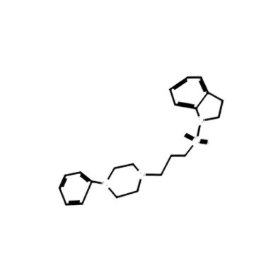 O=S(=O)(CCCN1CCN(c2ccccc2)CC1)N1CCc2ccccc21